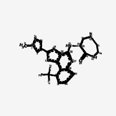 Cn1cc(-c2nc3c4c(C(F)(F)F)cccc4nc(N[C@@H]4CNCCNC4=O)n3n2)cn1